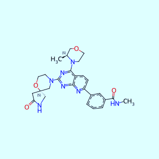 CNC(=O)c1cccc(-c2ccc3c(N4CCOC[C@@H]4C)nc(N4CCO[C@@]5(CNC(=O)C5)C4)nc3n2)c1